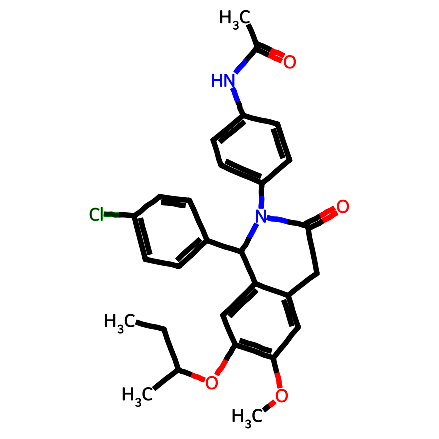 CCC(C)Oc1cc2c(cc1OC)CC(=O)N(c1ccc(NC(C)=O)cc1)C2c1ccc(Cl)cc1